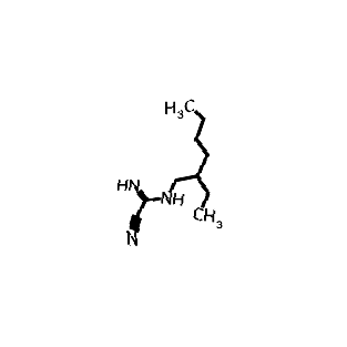 CCCCC(CC)CNC(=N)C#N